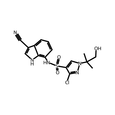 CC(C)(CO)n1cc(S(=O)(=O)Nc2cccc3c(C#N)c[nH]c23)c(Cl)n1